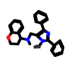 CCCCn1c(-c2ccccc2)nc(-c2ccccc2)c1CN(C)C1CCOc2ccccc21